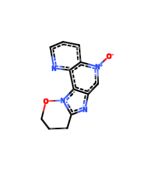 [O-][n+]1cc2nc3n(c2c2ncccc21)OCCC3